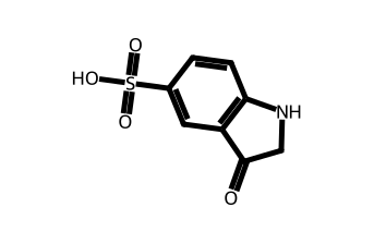 O=C1CNc2ccc(S(=O)(=O)O)cc21